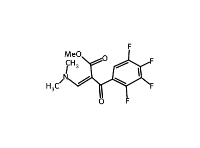 COC(=O)C(=CN(C)C)C(=O)c1cc(F)c(F)c(F)c1F